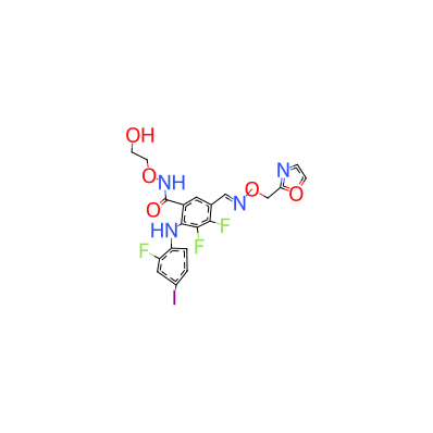 O=C(NOCCO)c1cc(/C=N/OCc2ncco2)c(F)c(F)c1Nc1ccc(I)cc1F